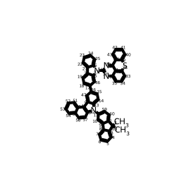 CC1(C)c2ccccc2-c2cc(-n3c4ccc(-c5ccc6c7ccccc7n(-c7nc8c9c(cccc9n7)Sc7ccccc7-8)c6c5)cc4c4c5ccccc5ccc43)ccc21